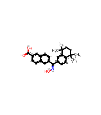 CC1(C)CCC(C)(C)c2cc(C(=NO)c3ccc4cc(C(=O)O)ccc4c3)ccc21